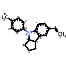 C=Cc1ccc2c(c1)C1CCCC1N2c1ccc(C)cc1